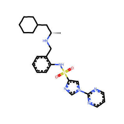 C[C@@H](CC1CCCCC1)NCc1ccccc1NS(=O)(=O)c1cn(-c2ncccn2)cn1